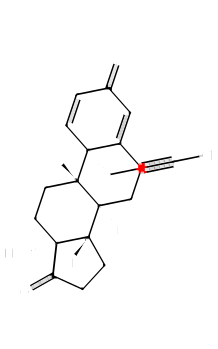 C[C@]12CC[C@H]3[C@@H](CCC4=CC(=O)C=C[C@@]43CC#CCl)[C@@H]1CCC2=O